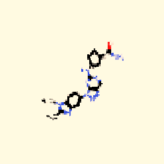 Cc1nc2cc(-n3nnc4cnc(N[C@@H]5CC[C@@H](C(N)=O)C5)nc43)ccc2n1C